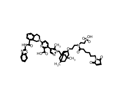 Cc1c(-c2ccc(N3CCc4cccc(C(=O)Nc5nc6ccccc6s5)c4C3)nc2C(=O)O)cnn1CC12CC3(C)CC(C)(C1)CC(OCCN(CCS(=O)(=O)O)C(=O)CCCCCN1C(=O)C=CC1=O)(C3)C2